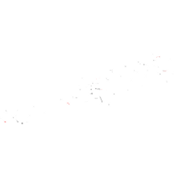 CCCC1(CCCCCCCOC(=C(C)C(=O)O)C23CC4CC(OCCCCCCCC5(CCC)CCO5)(CC(OCCCCCCCC5(CCC)CCO5)(C4)C2)C3)CCO1